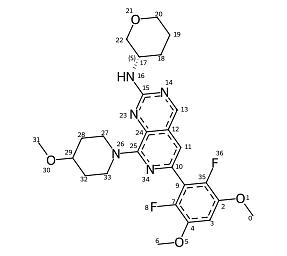 COc1cc(OC)c(F)c(-c2cc3cnc(N[C@H]4CCCOC4)nc3c(N3CCC(OC)CC3)n2)c1F